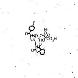 O.O=C(O)C(O)C(O)C(=O)O.O=C(c1ccc(F)cc1)C1CCN(CCn2c(=O)[nH]c3ccccc3c2=O)CC1